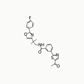 CC(=O)c1cnc(-c2cccc(C(=O)NCC(C)(C)c3coc(-c4ccc(F)cc4)n3)c2)s1